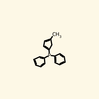 CC1=CC=C(P(c2ccccc2)c2ccccc2)C1